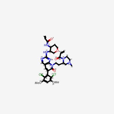 C=CC(=O)NC1CCOCC1Nc1ncc2cc(-c3c(Cl)c(OC)cc(OC)c3Cl)c(=O)n(CCC3CN(C)CCN3C(=O)C=C)c2n1